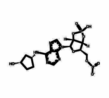 O=[N+]([O-])OC[C@H]1O[C@@H](n2cnc3c(N[C@@H]4CC[C@H](O)C4)ncnc32)[C@@H]2OP(=O)(O)O[C@@H]21